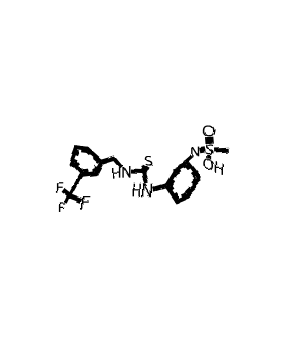 CS(=O)(O)=Nc1cccc(NC(=S)NCc2cccc(C(F)(F)F)c2)c1